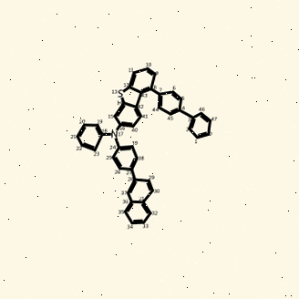 c1ccc(-c2ccc(-c3cccc4sc5cc(N(c6ccccc6)c6ccc(-c7ccc8ccccc8c7)cc6)ccc5c34)cc2)cc1